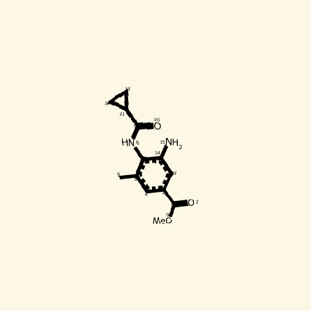 COC(=O)c1cc(C)c(NC(=O)C2CC2)c(N)c1